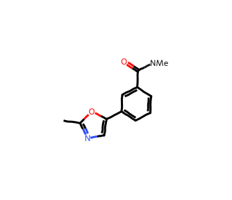 CNC(=O)c1cccc(-c2cnc(C)o2)c1